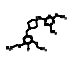 CCOc1cc(CN2CCC(Nc3nc(N)nc(OC)n3)CC2)cc(OCC)c1F